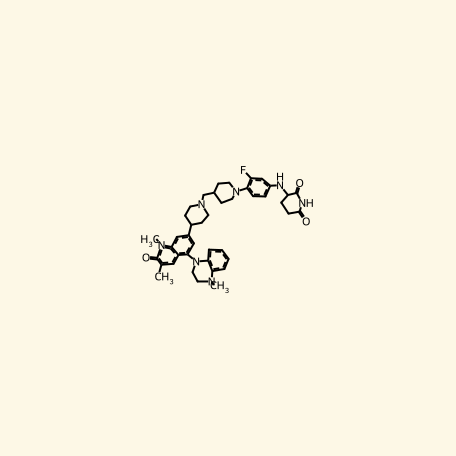 Cc1cc2c(N3CCN(C)c4ccccc43)cc(C3CCN(CC4CCN(c5ccc(NC6CCC(=O)NC6=O)cc5F)CC4)CC3)cc2n(C)c1=O